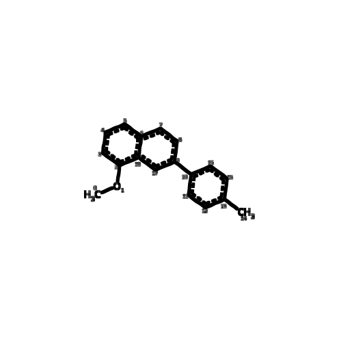 COc1cccc2ccc(-c3ccc(C)cc3)cc12